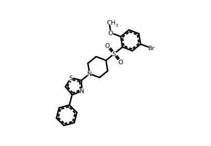 COc1ccc(Br)cc1S(=O)(=O)C1CCN(c2nc(-c3ccccc3)cs2)CC1